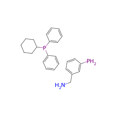 NCc1cccc(P)c1.c1ccc(P(c2ccccc2)C2CCCCC2)cc1